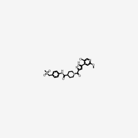 COc1cc(-c2cc(C(=O)N3CCC(C(=O)Nc4ccc(CS(C)(=O)=O)cc4)CC3)n[nH]2)c(Cl)cn1